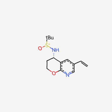 C=Cc1cnc2c(c1)[C@@H](N[S+]([O-])C(C)(C)C)CCO2